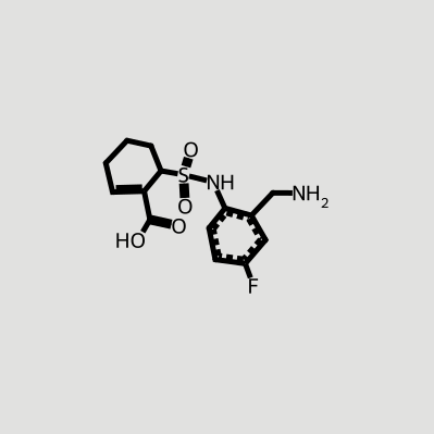 NCc1cc(F)ccc1NS(=O)(=O)C1CCCC=C1C(=O)O